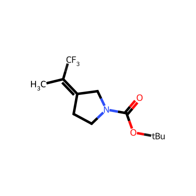 C/C(=C1\CCN(C(=O)OC(C)(C)C)C1)C(F)(F)F